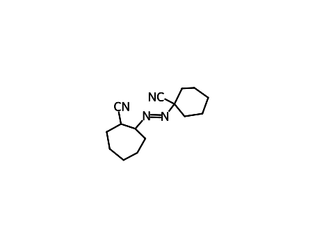 N#CC1CCCCCC1/N=N/C1(C#N)CCCCC1